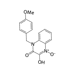 COc1ccc(Cn2c(=O)c(O)[n+]([O-])c3ccccc32)cc1